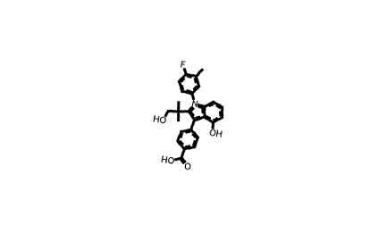 Cc1cc(-n2c(C(C)(C)CO)c(-c3ccc(C(=O)O)cc3)c3c(O)cccc32)ccc1F